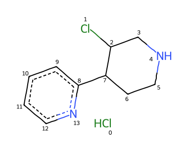 Cl.ClC1CNCCC1c1ccccn1